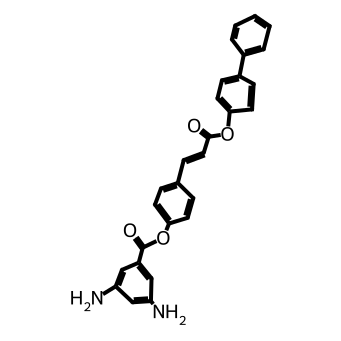 Nc1cc(N)cc(C(=O)Oc2ccc(/C=C/C(=O)Oc3ccc(-c4ccccc4)cc3)cc2)c1